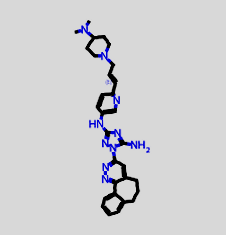 CN(C)C1CCN(C/C=C/c2ccc(Nc3nc(N)n(-c4cc5c(nn4)-c4ccccc4CCC5)n3)cn2)CC1